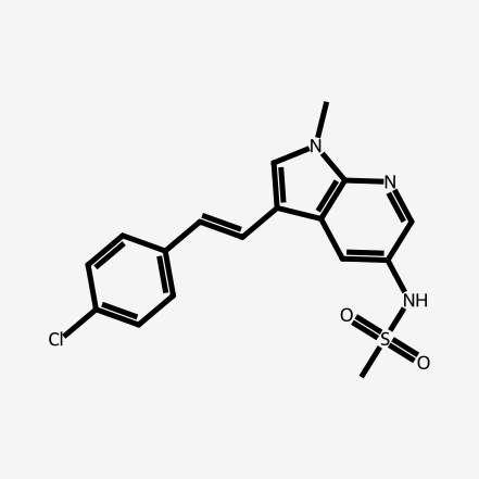 Cn1cc(C=Cc2ccc(Cl)cc2)c2cc(NS(C)(=O)=O)cnc21